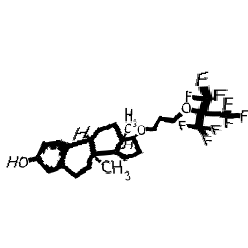 C[C@]12CC[C@@H]3c4ccc(O)cc4CC[C@@]3(C)[C@@H]1CC[C@@H]2OCCCOC(C(F)(F)F)(C(F)(F)F)C(F)(F)F